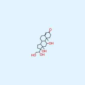 CC12CCC(=O)C=C1CCC1C2C(O)CC2(C)C1CCC2(O)C(O)CO